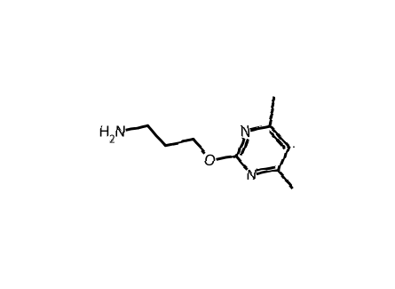 Cc1[c]c(C)nc(OCCCN)n1